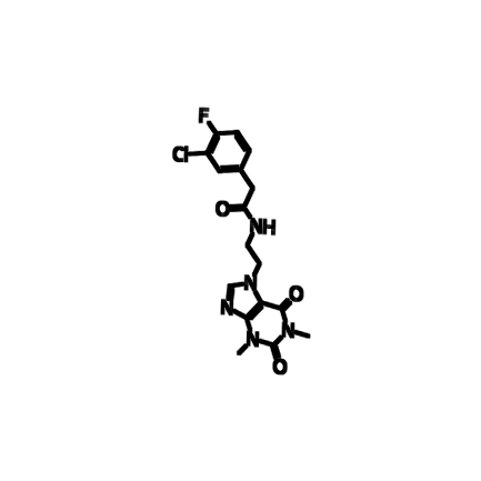 Cn1c(=O)c2c(ncn2CCNC(=O)Cc2ccc(F)c(Cl)c2)n(C)c1=O